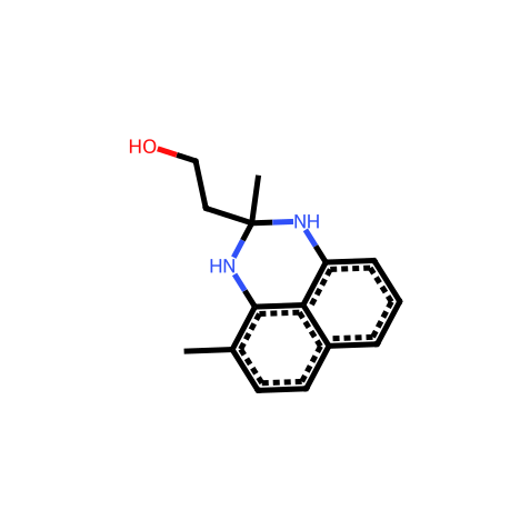 Cc1ccc2cccc3c2c1NC(C)(CCO)N3